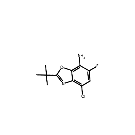 CC(C)(C)c1nc2c(Cl)cc(F)c(N)c2o1